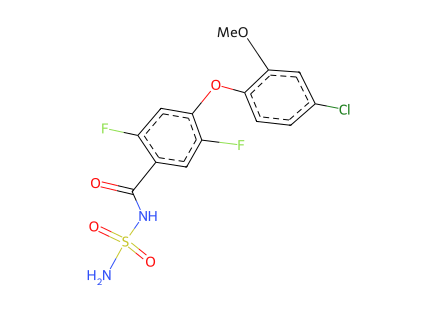 COc1cc(Cl)ccc1Oc1cc(F)c(C(=O)NS(N)(=O)=O)cc1F